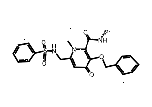 CC(C)NC(=O)c1c(OCc2ccccc2)c(=O)cc(CNS(=O)(=O)c2ccccc2)n1C